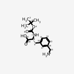 CC(C)(C)OC(=O)N[C@H](Cc1cccc(CN)c1)C(=O)O